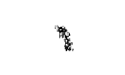 CC(C)(C)N1Cc2sc(C(=O)N[C@@H]3CCc4cc(Cl)ccc43)cc2S1(=O)=O